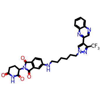 O=C1CCC(N2C(=O)c3ccc(NCCCCCCn4cc(-c5cnc6ccccc6n5)c(C(F)(F)F)n4)cc3C2=O)C(=O)N1